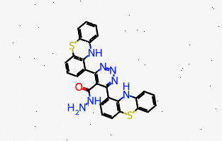 NNC(=O)c1c(-c2cccc3c2Nc2ccccc2S3)nnnc1-c1cccc2c1Nc1ccccc1S2